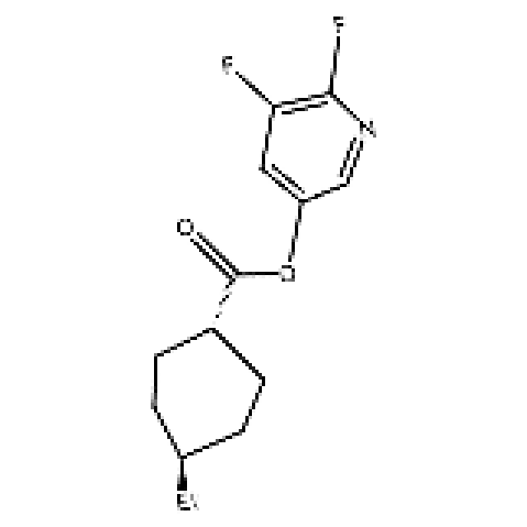 CC[C@H]1CC[C@H](C(=O)Oc2cnc(F)c(F)c2)CC1